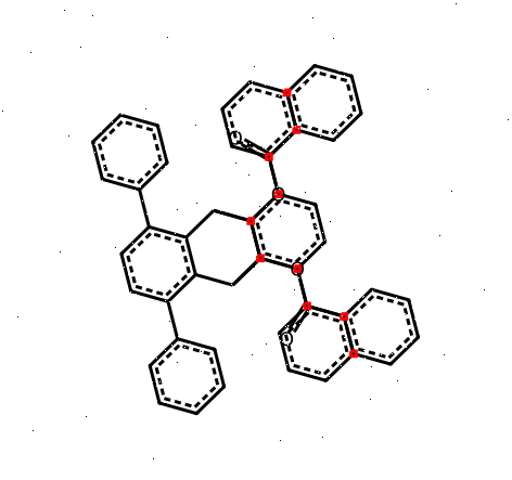 O=C(OC1C2c3c(-c4ccccc4)ccc(-c4ccccc4)c3C(c3c(-c4ccccc4)ccc(-c4ccccc4)c32)C1OC(=O)c1ccccc1)c1ccccc1